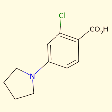 O=C(O)c1ccc(N2CCCC2)cc1Cl